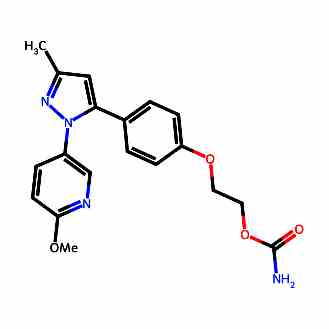 COc1ccc(-n2nc(C)cc2-c2ccc(OCCOC(N)=O)cc2)cn1